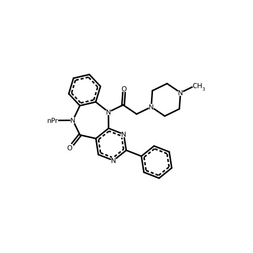 CCCN1C(=O)c2cnc(-c3ccccc3)nc2N(C(=O)CN2CCN(C)CC2)c2ccccc21